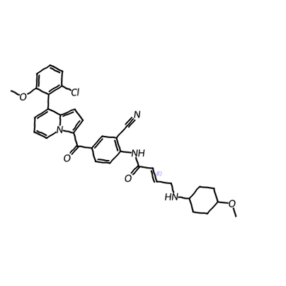 COc1cccc(Cl)c1-c1cccn2c(C(=O)c3ccc(NC(=O)/C=C/CNC4CCC(OC)CC4)c(C#N)c3)ccc12